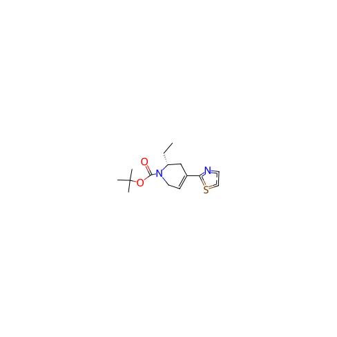 CC[C@@H]1CC(c2nccs2)=CCN1C(=O)OC(C)(C)C